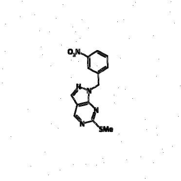 CSc1ncc2cnn(Cc3cccc([N+](=O)[O-])c3)c2n1